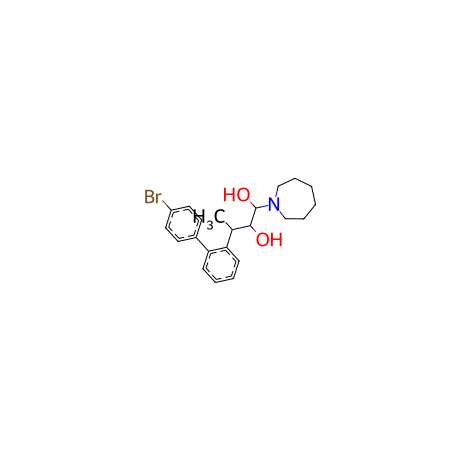 CC(c1ccccc1-c1ccc(Br)cc1)C(O)C(O)N1CCCCCC1